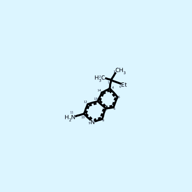 CCC(C)(C)c1ccc2cnc(N)cc2c1